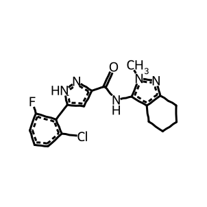 Cn1nc2c(c1NC(=O)c1cc(-c3c(F)cccc3Cl)[nH]n1)CCCC2